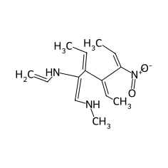 C=CNC(=C/NC)/C(=C\C)C(=C/C)/C(=C\C)[N+](=O)[O-]